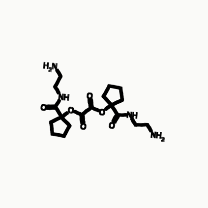 NCCNC(=O)C1(OC(=O)C(=O)OC2(C(=O)NCCN)CCCC2)CCCC1